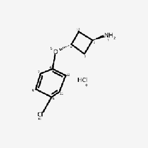 Cl.N[C@H]1C[C@H](Oc2ccc(Cl)cc2)C1